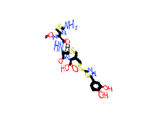 CON=C(C(=O)N[C@@H]1C(=O)N2C(C(=O)O)=C(CSc3nnc(-c4ccc(O)c(O)c4)s3)CS[C@@H]12)c1csc(N)n1